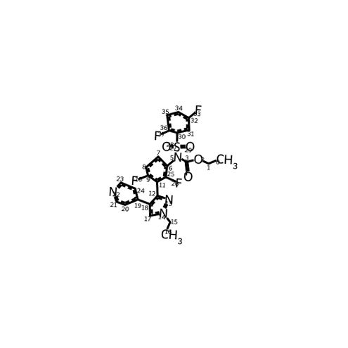 CCOC(=O)N(c1ccc(F)c(-c2nn(CC)cc2-c2ccncc2)c1F)S(=O)(=O)c1cc(F)ccc1F